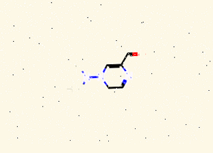 CN(C)N1C=C(C=O)N=CC1